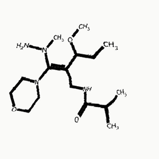 CCC(OC)/C(CNC(=O)C(C)C)=C(\N(C)N)N1CCOCC1